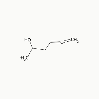 [CH2]C(O)CC=C=C